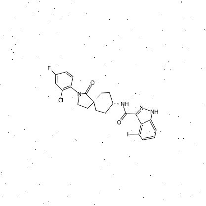 O=C(N[C@H]1CC[C@@]2(CCN(c3ccc(F)cc3Cl)C2=O)CC1)c1n[nH]c2cccc(I)c12